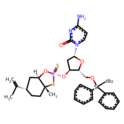 C=C(C)[C@H]1CC[C@@]2(C)S[P@@](=S)(O[C@H]3C[C@H](n4ccc(N)nc4=O)O[C@@H]3CO[Si](c3ccccc3)(c3ccccc3)C(C)(C)C)O[C@@H]2C1